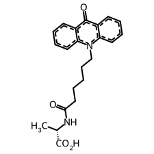 C[C@H](NC(=O)CCCCCn1c2ccccc2c(=O)c2ccccc21)C(=O)O